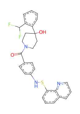 O=C(c1ccc(NSc2cccc3cccnc23)cc1)N1CCC(O)(c2ccccc2C(F)F)CC1